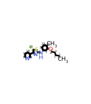 CCCCCOc1cc(Nc2nc(-c3cccnc3)c(F)s2)ccc1C